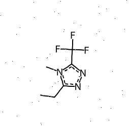 CCc1nnc(C(F)(F)F)n1C